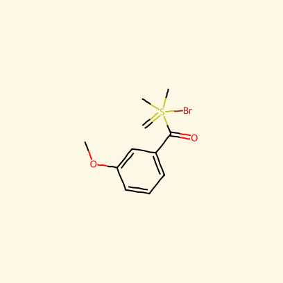 C=S(C)(C)(Br)C(=O)c1cccc(OC)c1